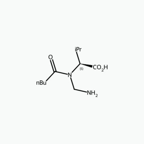 CCCCC(=O)N(CN)[C@H](C(=O)O)C(C)C